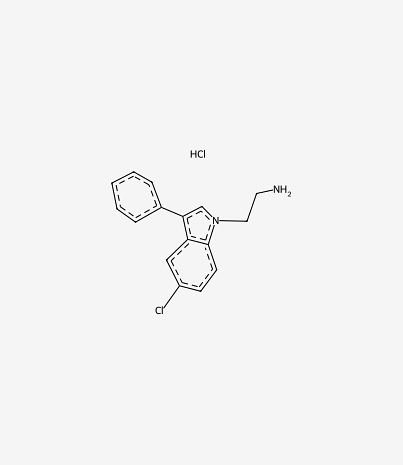 Cl.NCCn1cc(-c2ccccc2)c2cc(Cl)ccc21